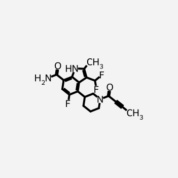 CC#CC(=O)N1CCCC(c2c(F)cc(C(N)=O)c3[nH]c(C)c(C(F)F)c23)C1